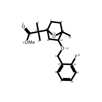 COC(=O)C(C)(C)C12CCC(C)(O1)C(OCc1ccccc1F)C2